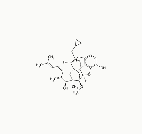 C=C(/C=C\C=C(C)C)[C@H](O)[C@@]1(C)C[C@@]23CC[C@]1(OC)[C@@H]1Oc4c(O)ccc5c4[C@@]12CCN(CC1CC1)[C@@H]3C5